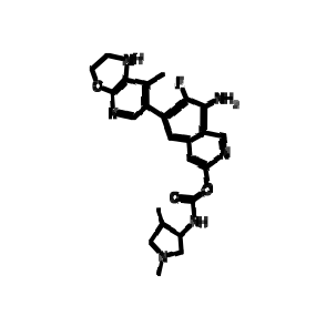 Cc1c(-c2cc3cc(OC(=O)NC4CN(C)CC4C)ncc3c(N)c2F)cnc2c1NCCO2